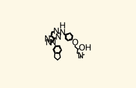 CN(C)CC(O)COc1ccc(Nc2ncc3nnn(-c4ccc5c(c4)CCC5)c3n2)cc1